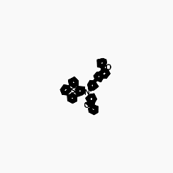 c1ccc([Si](c2ccccc2)(c2ccccc2)c2ccc(N(c3ccc(-c4ccc5c(ccc6oc7ccccc7c65)c4)cc3)c3ccc4c(c3)oc3ccccc34)cc2)cc1